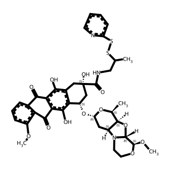 COc1cccc2c1C(=O)c1c(O)c3c(c(O)c1C2=O)C[C@@](O)(C(=O)NCC(C)SSc1ccccn1)C[C@@H]3O[C@H]1C[C@H]2[C@H](O[C@@H]3[C@@H](OC)OCCN32)[C@H](C)O1